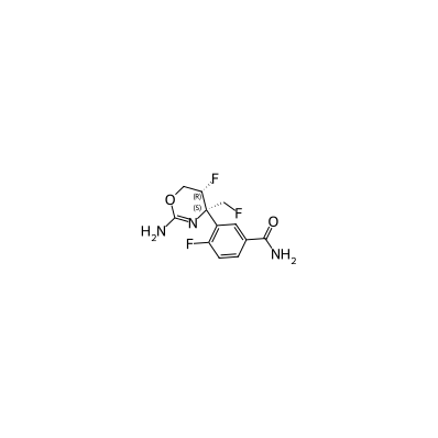 NC(=O)c1ccc(F)c([C@@]2(CF)N=C(N)OC[C@@H]2F)c1